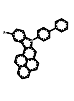 Brc1ccc2c(c1)c1c3ccc4cccc5ccc(cc1n2-c1ccc(-c2ccccc2)cc1)c3c54